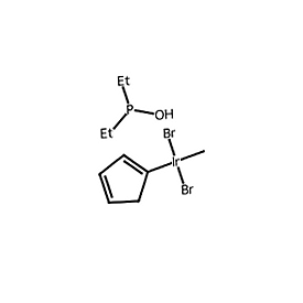 CCP(O)CC.[CH3][Ir]([Br])([Br])[C]1=CC=CC1